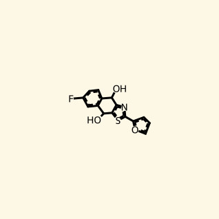 OC1c2ccc(F)cc2C(O)c2sc(-c3ccco3)nc21